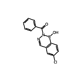 O=C(c1ccccc1)N1N=Cc2cc(Cl)ccc2B1O